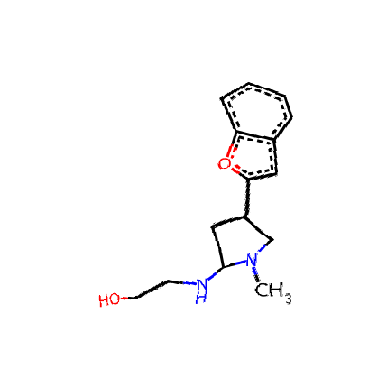 CN1CC(c2cc3ccccc3o2)CC1NCCO